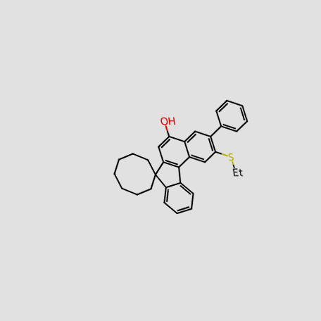 CCSc1cc2c3c(cc(O)c2cc1-c1ccccc1)C1(CCCCCCC1)c1ccccc1-3